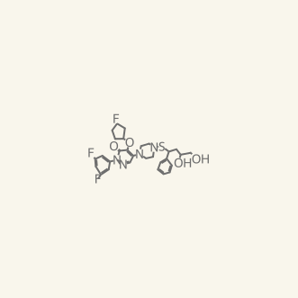 O=c1c(OC2CCC(F)C2)c(N2CCN(SC(CC(O)CO)c3ccccc3)CC2)cnn1-c1cc(F)cc(F)c1